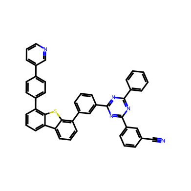 N#Cc1cccc(-c2nc(-c3ccccc3)nc(-c3cccc(-c4cccc5c4sc4c(-c6ccc(-c7cccnc7)cc6)cccc45)c3)n2)c1